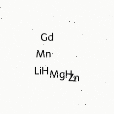 [Gd].[LiH].[MgH2].[Mn].[Zn]